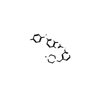 Cc1ccc(N(C)c2ccc3nc(Nc4cc(CN5CCN(C)CC5)ccn4)sc3n2)cc1